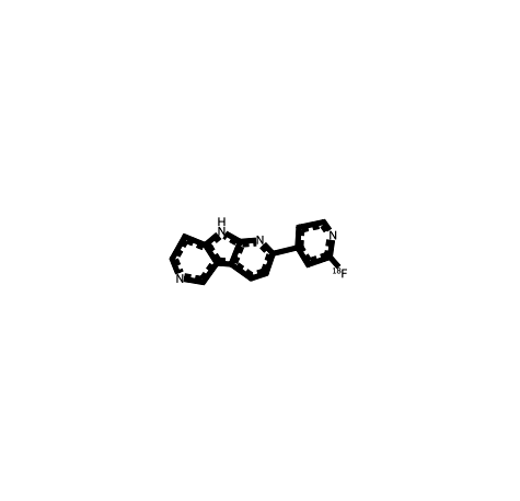 [18F]c1cc(-c2ccc3c(n2)[nH]c2ccncc23)ccn1